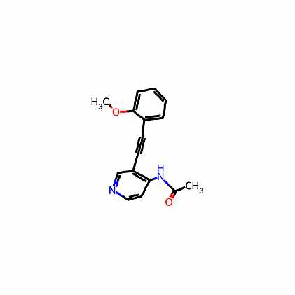 COc1ccccc1C#Cc1cnccc1NC(C)=O